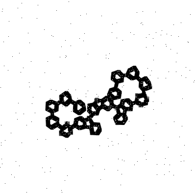 c1ccc(-c2cccc(-c3cccc(-c4cccc(-c5ncnc(-c6ccc7c(c6)c6ccccc6n7-c6ccc7oc8ccc(-n9c%10ccccc%10c%10cc(-c%11ncnc(-c%12cccc(-c%13cccc(-c%14cccc(-c%15ccccc%15)c%14)c%13)c%12)n%11)ccc%109)cc8c7c6)n5)c4)c3)c2)cc1